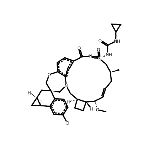 CO[C@H]1/C=C/C[C@H](C)C[S@@](=O)(NC(=O)NC2CC2)=NC(=O)c2ccc3c(c2)N(C[C@@H]2CC[C@H]21)C[C@]1(CO3)C[C@@H]2C[C@@H]2c2cc(Cl)ccc21